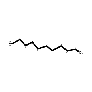 [O]CCCCCCCCCCl